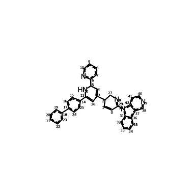 C1=CC(C2=CC(c3ccccn3)NC(c3ccc(-c4ccccc4)cc3)=C2)CN=C1n1c2ccccc2c2cnccc21